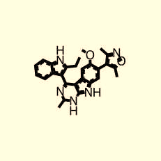 CCc1[nH]c2ccccc2c1C1=NC(C)Nc2[nH]c3cc(-c4c(C)noc4C)c(OC)cc3c21